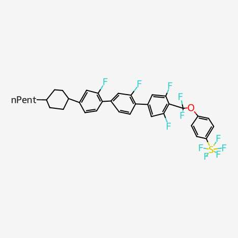 CCCCCC1CCC(c2ccc(-c3ccc(-c4cc(F)c(C(F)(F)Oc5ccc(S(F)(F)(F)(F)F)cc5)c(F)c4)c(F)c3)c(F)c2)CC1